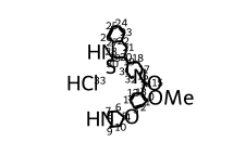 COc1cc(OC2CCNCC2)ccc1C(=O)N1CCC(C2CC3C=CC=CC3NC2=S)CC1.Cl